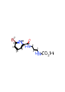 O=C(O)NCCCNC(=O)c1cccc(Br)n1